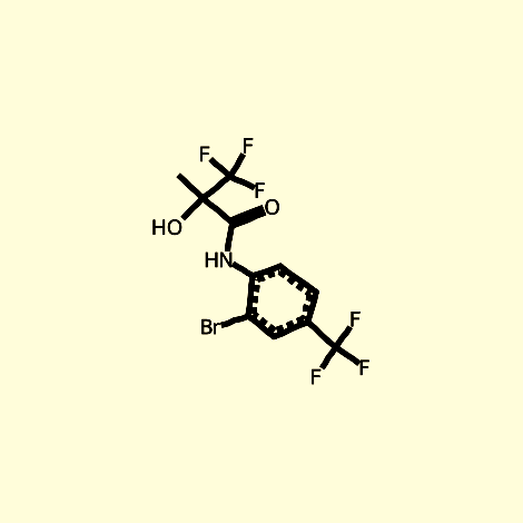 CC(O)(C(=O)Nc1ccc(C(F)(F)F)cc1Br)C(F)(F)F